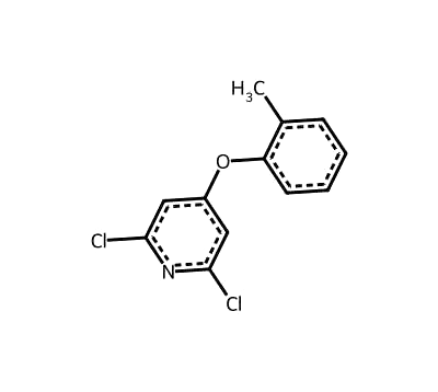 Cc1ccccc1Oc1cc(Cl)nc(Cl)c1